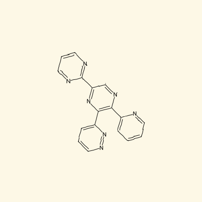 [c]1nc(-c2ccccn2)c(-c2cccnn2)nc1-c1ncccn1